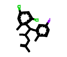 C=C(C)CC(C)C(c1cc(I)ccc1C)c1c(C)cc(Cl)cc1Cl